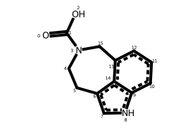 O=C(O)N1CCc2c[nH]c3cccc(c23)C1